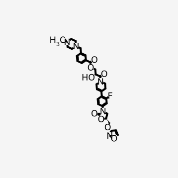 CN1CCN(Cc2cccc(C(=O)OC[C@H](O)C(=O)N3CC=C(c4ccc(N5C[C@H](COc6ccon6)OC5=O)cc4F)CC3)c2)CC1